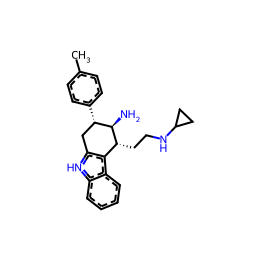 Cc1ccc([C@H]2Cc3[nH]c4ccccc4c3[C@@H](CCNC3CC3)[C@@H]2N)cc1